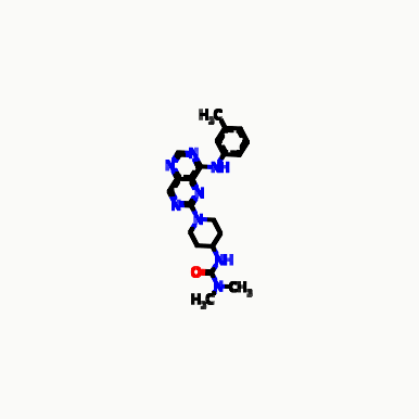 Cc1cccc(Nc2ncnc3cnc(N4CCC(NC(=O)N(C)C)CC4)nc23)c1